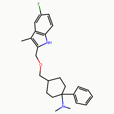 Cc1c(COCC2CCC(c3ccccc3)(N(C)C)CC2)[nH]c2ccc(F)cc12